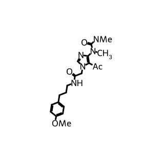 CNC(=O)N(C)c1ncn(CC(=O)NCCCc2ccc(OC)cc2)c1C(C)=O